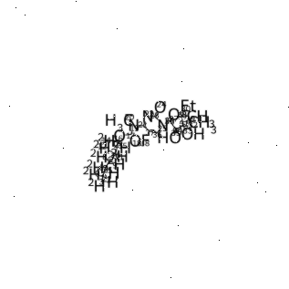 [2H]C([2H])([2H])C([2H])([2H])C([2H])([2H])C([2H])([2H])C([2H])([2H])OC(=O)N(C)c1nc(=O)n([C@@H]2O[C@](C)(CC)[C@@](C)(O)[C@H]2O)cc1F